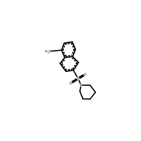 Nc1cccc2cc(S(=O)(=O)N3CCCCC3)ccc12